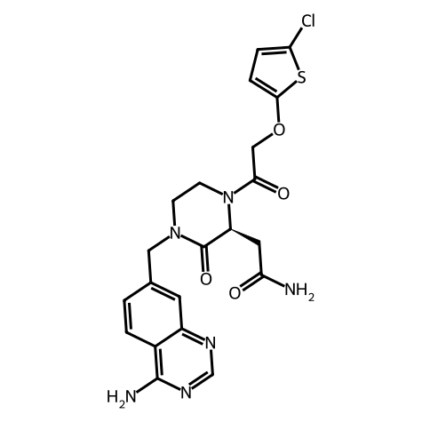 NC(=O)C[C@H]1C(=O)N(Cc2ccc3c(N)ncnc3c2)CCN1C(=O)COc1ccc(Cl)s1